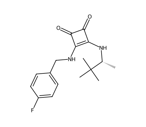 C[C@@H](Nc1c(NCc2ccc(F)cc2)c(=O)c1=O)C(C)(C)C